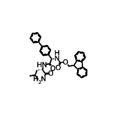 CC(C)C[C@H](NC(=O)[C@@H](NC(=O)OCC1c2ccccc2-c2ccccc21)c1ccc(-c2ccccc2)cc1)C(N)=O